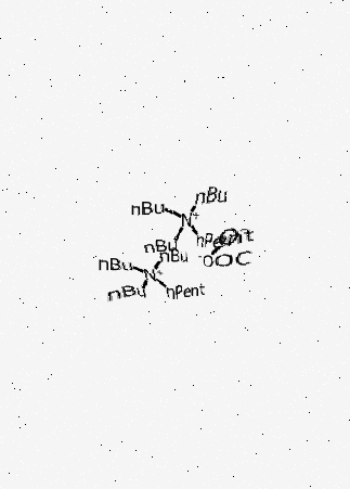 CCCCC[N+](CCCC)(CCCC)CCCC.CCCCC[N+](CCCC)(CCCC)CCCC.O=C([O-])[O-]